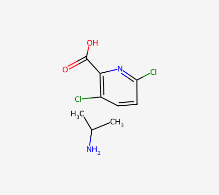 CC(C)N.O=C(O)c1nc(Cl)ccc1Cl